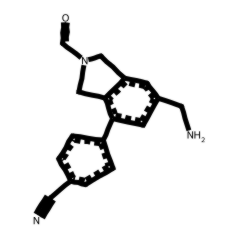 N#Cc1ccc(-c2cc(CN)cc3c2CN(C=O)C3)cc1